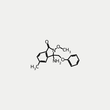 CON1C(=O)c2ccc(C)cc2C1(N)COc1ccccc1